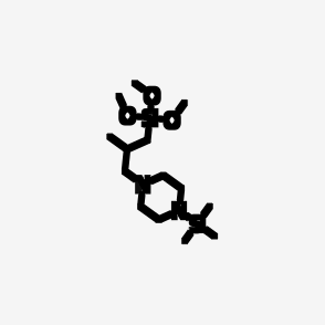 CO[Si](CC(C)CN1CCN([Si](C)(C)C)CC1)(OC)OC